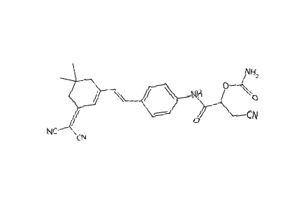 CC1(C)CC(C=Cc2ccc(NC(=O)C(CC#N)OC(N)=O)cc2)=CC(=C(C#N)C#N)C1